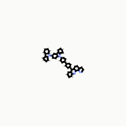 c1cnc2c(c1)ccc1c(-c3ccc(-c4ccc(-n5c6ccccc6c6cc(-n7c8ccccc8c8ccccc87)ccc65)cc4)cc3)c3ccccc3nc12